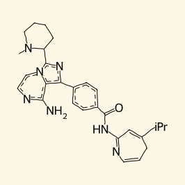 CC(C)C1=CC(NC(=O)c2ccc(-c3nc(C4CCCCN4C)n4ccnc(N)c34)cc2)=NC=CC1